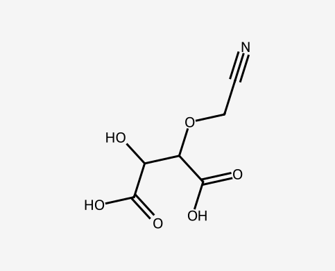 N#CCOC(C(=O)O)C(O)C(=O)O